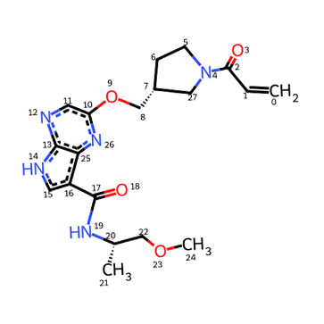 C=CC(=O)N1CC[C@@H](COc2cnc3[nH]cc(C(=O)N[C@@H](C)COC)c3n2)C1